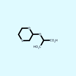 O=C(O)C(OC1CSCCO1)C(=O)O